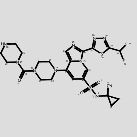 N#CC1(NS(=O)(=O)c2cc(N3CCN(C(=O)N4CCNCC4)CC3)c3cnc(-c4nnc(C(F)F)s4)n3c2)CC1